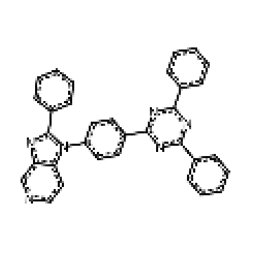 c1ccc(-c2nc(-c3ccccc3)nc(-c3ccc(-n4c(-c5ccccc5)nc5cnccc54)cc3)n2)cc1